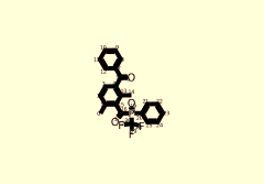 Cc1ccc(C(=O)c2ccccc2)c(C)c1C(=O)P(=O)(c1ccccc1)C(F)(F)F